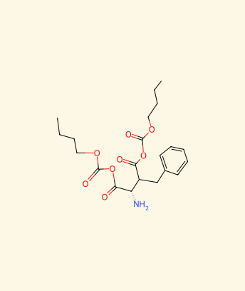 CCCCOC(=O)OC(=O)C(Cc1ccccc1)[C@H](N)C(=O)OC(=O)OCCCC